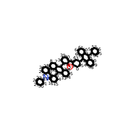 C1=c2oc3c(-c4c5ccccc5c(-c5cccc6c5c5ccccc5n6-c5ccccc5)c5ccccc45)cccc3c2=CC(c2c3ccccc3c(-c3ccccc3)c3ccccc23)C1